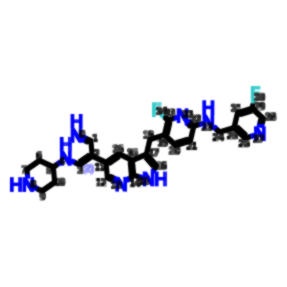 N=C/C(=C\NC1CCNCC1)c1cnc2[nH]cc(Cc3ccc(NCc4cncc(F)c4)nc3F)c2c1